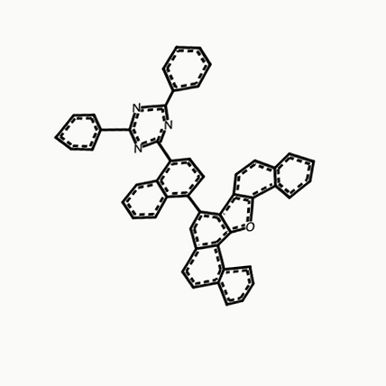 c1ccc(-c2nc(-c3ccccc3)nc(-c3ccc(-c4cc5ccc6ccccc6c5c5oc6c7ccccc7ccc6c45)c4ccccc34)n2)cc1